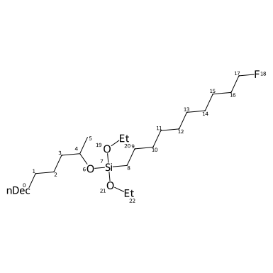 CCCCCCCCCCCCCC(C)O[Si](CCCCCCCCCCF)(OCC)OCC